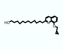 OCCCCCCCCCCCCc1ccc2cccc(OCC3CC3)c2n1